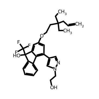 C=CCC(CC)(CC)CCOc1cc(-c2cnn(CCO)c2)c2c(c1)C(O)(C(F)(F)F)c1ccccc1-2